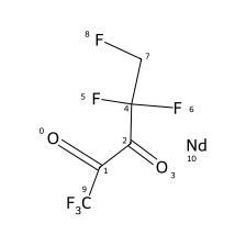 O=C(C(=O)C(F)(F)CF)C(F)(F)F.[Nd]